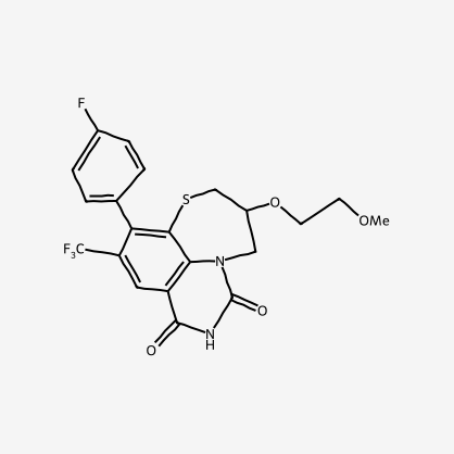 COCCOC1CSc2c(-c3ccc(F)cc3)c(C(F)(F)F)cc3c(=O)[nH]c(=O)n(c23)C1